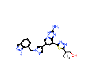 CC(CO)c1nnc(-c2cc(-c3cnn(Cc4cccc5cn[nH]c45)c3)cn3nc(N)nc23)s1